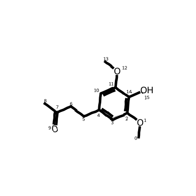 COc1cc(CCC(C)=O)cc(OC)c1O